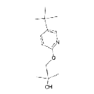 CC(C)(O)COc1ccc(C(C)(C)C)cn1